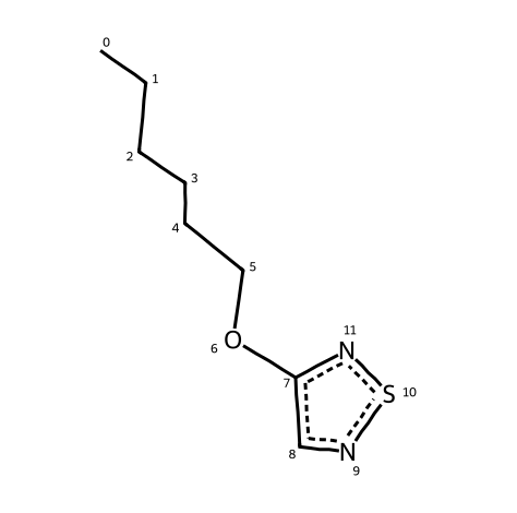 CCCCCCOc1cnsn1